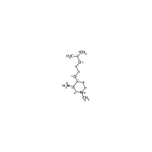 CC(C)OCCOC1CCN(C)CC1N